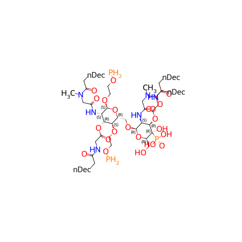 CCCCCCCCCCCC(=O)NCC(=O)O[C@@H]1[C@H](NC(=O)CN(C)C(=O)CCCCCCCCCCC)[C@@H](OCCOP)O[C@H](CO[C@@H]2O[C@H](CO)[C@](O)(P(=O)(O)O)[C@H](OC(=O)CNC(=O)CCCCCCCCCCC)[C@@H]2NC(=O)CN(C)C(=O)CCCCCCCCCCC)[C@H]1OCCOP